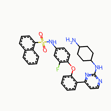 NC1CCC(Nc2nccc(-c3ccccc3Oc3ccc(NS(=O)(=O)c4cccc5ccccc45)cc3F)n2)CC1